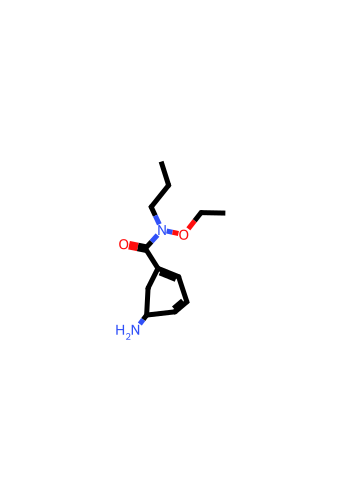 CCCN(OCC)C(=O)C1=CC=CC(N)C1